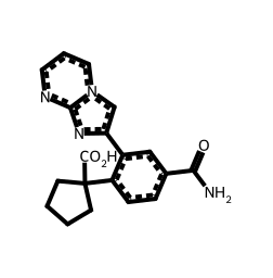 NC(=O)c1ccc(C2(C(=O)O)CCCC2)c(-c2cn3cccnc3n2)c1